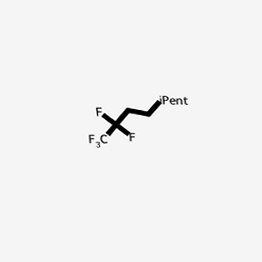 CCCC(C)CCC(F)(F)C(F)(F)F